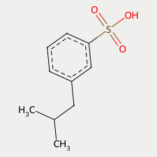 CC(C)Cc1cccc(S(=O)(=O)O)c1